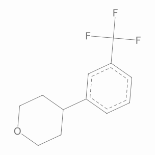 FC(F)(F)c1cccc(C2CCOCC2)c1